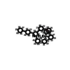 CC1(c2ccccc2)c2ccccc2-c2cccc(-c3cccc(-c4cccc(-c5cc(-c6ccc(-c7ccccc7)cc6)nc(-c6ccccc6)n5)c4)c3)c21